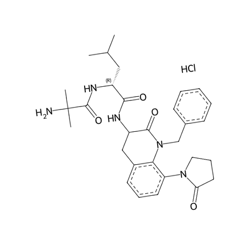 CC(C)C[C@@H](NC(=O)C(C)(C)N)C(=O)NC1Cc2cccc(N3CCCC3=O)c2N(Cc2ccccc2)C1=O.Cl